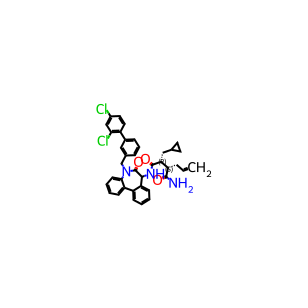 C=CC[C@H](C(N)=O)[C@@H](CC1CC1)C(=O)NC1C(=O)N(Cc2cccc(-c3ccc(Cl)cc3Cl)c2)c2ccccc2-c2ccccc21